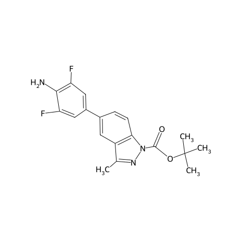 Cc1nn(C(=O)OC(C)(C)C)c2ccc(-c3cc(F)c(N)c(F)c3)cc12